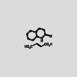 O=C(O)/C=C/C(=O)O.O=c1ccc2ccccc2[nH]1